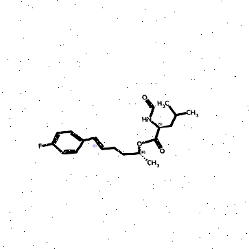 CC(C)C[C@H](NC=O)C(=O)O[C@H](C)CC/C=C/c1ccc(F)cc1